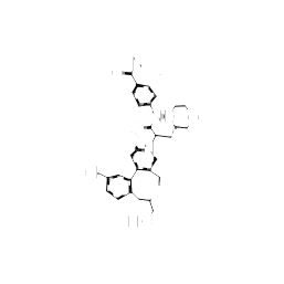 NC(=O)c1ccc(NC(=O)C(C[C@@H]2COCCO2)n2cc3c(cc2=O)-c2cc(Cl)ccc2CC(CO)OC3)cc1